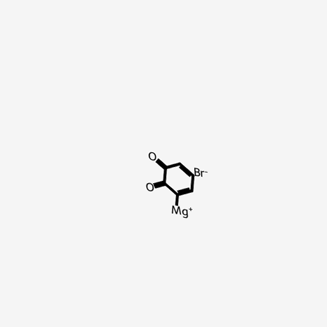 O=C1C=CC=[C]([Mg+])C1=O.[Br-]